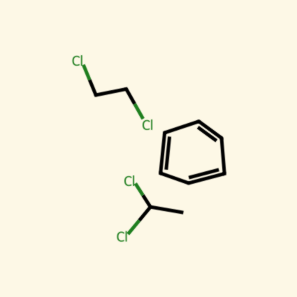 CC(Cl)Cl.ClCCCl.c1ccccc1